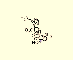 NCCSc1nccnc1SC1=C(C(=O)O)N2C(=O)[C@@H](NC(=O)/C(=N\O)c3cccc(N)n3)[C@@H]2SC1